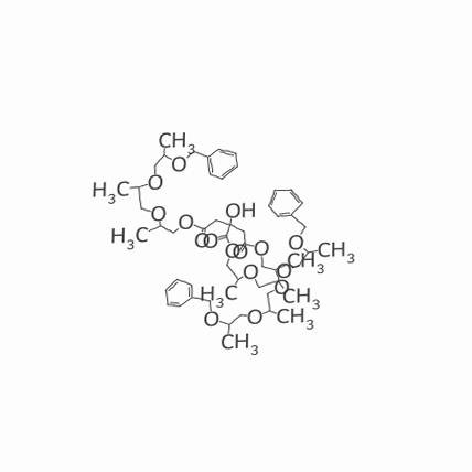 CC(COC(=O)CC(O)(CC(=O)OCC(C)OCC(C)OCC(C)OCc1ccccc1)C(=O)OCC(C)OCC(C)OCC(C)OCc1ccccc1)OCC(C)OCC(C)OCc1ccccc1